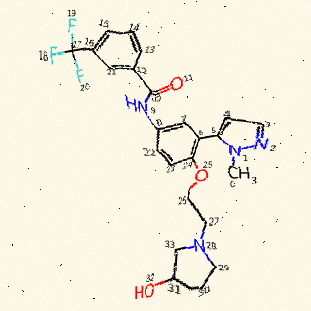 Cn1nccc1-c1cc(NC(=O)c2cccc(C(F)(F)F)c2)ccc1OCCN1CCC(O)C1